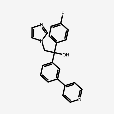 OC(Cn1ccnc1)(c1ccc(F)cc1)c1cccc(-c2ccncc2)c1